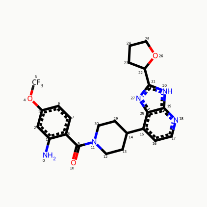 Nc1cc(OC(F)(F)F)ccc1C(=O)N1CCC(c2ccnc3[nH]c(C4CCCO4)nc23)CC1